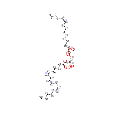 CCCC/C=C\CCCCCCCC(=O)OC[C@H](CO)OC(=O)CCCC/C=C\C/C=C\C/C=C\CCCCC